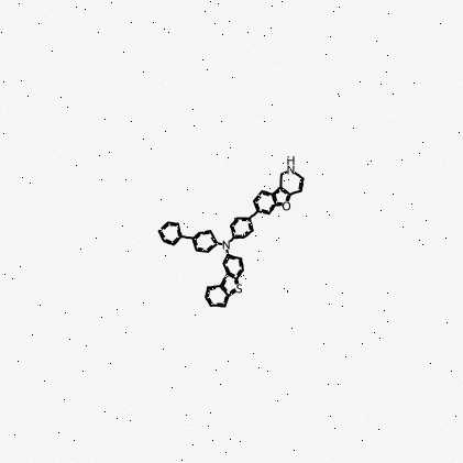 C1=Cc2oc3cc(-c4ccc(N(c5ccc(-c6ccccc6)cc5)c5ccc6sc7ccccc7c6c5)cc4)ccc3c2CN1